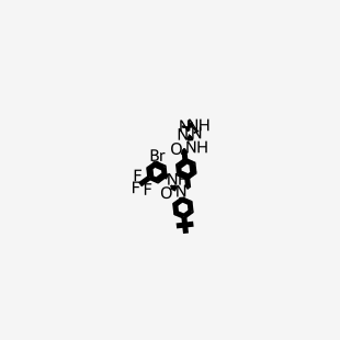 CC(C)(C)C1CCC(N(Cc2ccc(C(=O)Nc3nn[nH]n3)cc2)C(=O)Nc2cc(Br)cc(C(F)(F)F)c2)CC1